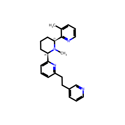 Cc1cccnc1[C@@H]1CCC[C@H](c2cccc(CCc3cccnc3)n2)N1C